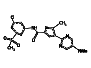 CNc1cnc(-c2cc(C(=O)Nc3cc(Cl)cc(S(C)(=O)=O)c3)sc2C)nc1